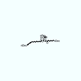 CCCCCCCCCCC#CC#CCCCCCCCCC(=O)O[C@H](COC(=O)CCCCCCCCCCCCCCC)COP(=O)(O)OCCC